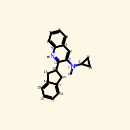 CN(c1cc2ccccc2nc1C1Cc2ccccc2C1)C1CC1